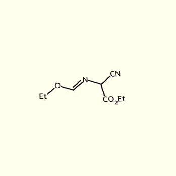 CCOC=NC(C#N)C(=O)OCC